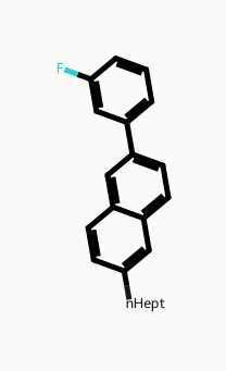 CCCCCCCc1ccc2cc(-c3cccc(F)c3)ccc2c1